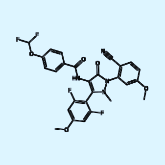 COc1cc(F)c(-c2c(NC(=O)c3ccc(OC(F)F)cc3)c(=O)n(-c3cc(OC)ccc3C#N)n2C)c(F)c1